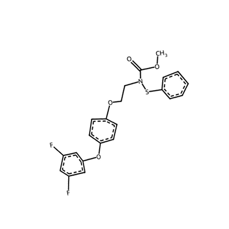 COC(=O)N(CCOc1ccc(Oc2cc(F)cc(F)c2)cc1)Sc1ccccc1